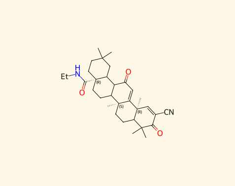 CCNC(=O)[C@@]12CCC3C(C(=O)C=C4[C@@]5(C)C=C(C#N)C(=O)C(C)(C)C5CC[C@]43C)C1CC(C)(C)CC2